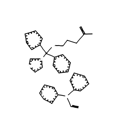 C=C(C)CCC[SiH2]C(c1ccccc1)(c1ccccc1)n1ccnc1.C=CB(c1ccccc1)c1ccccc1